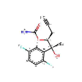 C#CC[C@H](OC(N)=O)[C@](O)(c1cc(F)ccc1F)C(C)(C)C